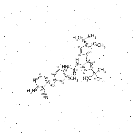 COc1cc(-n2nc(C(C)(C)C)cc2NC(=O)Nc2ccc(Oc3ncnc(N)c3C#N)cc2C)ccc1N(C)C